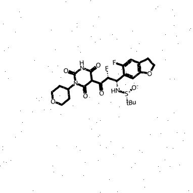 CC(C)(C)[S@@+]([O-])N[C@@H](c1cc2c(cc1F)CCO2)[C@@H](F)C(=O)C1C(=O)NC(=O)N(C2CCOCC2)C1=O